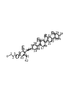 CCCCOc1cc(F)c(C#Cc2ccc(-c3ccc(-c4ccc(-c5ccc(C)cc5F)cc4F)cc3F)cc2)c(CC)c1